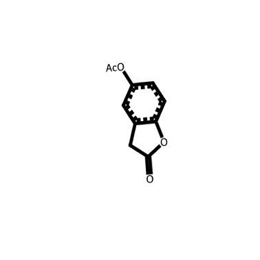 CC(=O)Oc1ccc2c(c1)CC(=O)O2